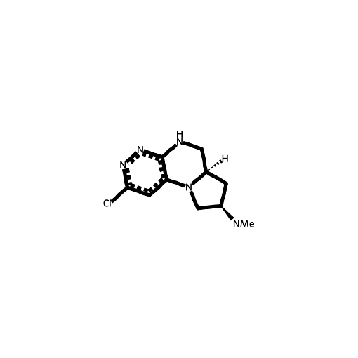 CN[C@@H]1C[C@@H]2CNc3nnc(Cl)cc3N2C1